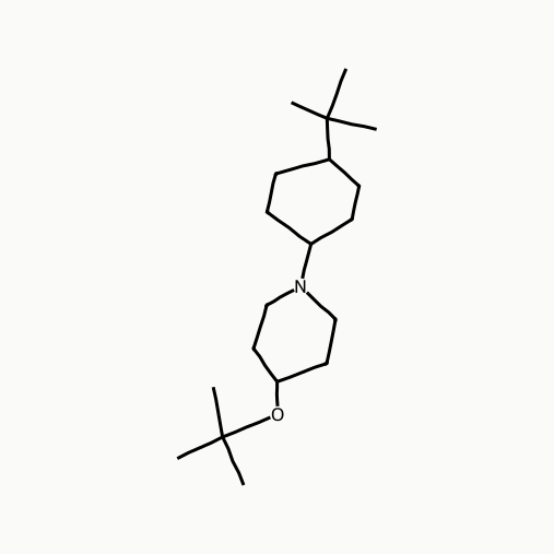 CC(C)(C)OC1CCN(C2CCC(C(C)(C)C)CC2)CC1